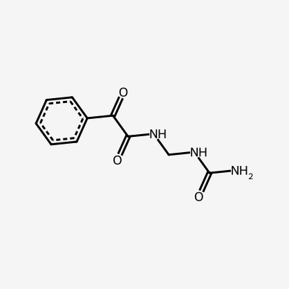 NC(=O)NCNC(=O)C(=O)c1ccccc1